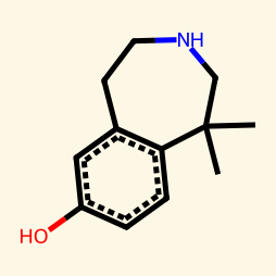 CC1(C)CNCCc2cc(O)ccc21